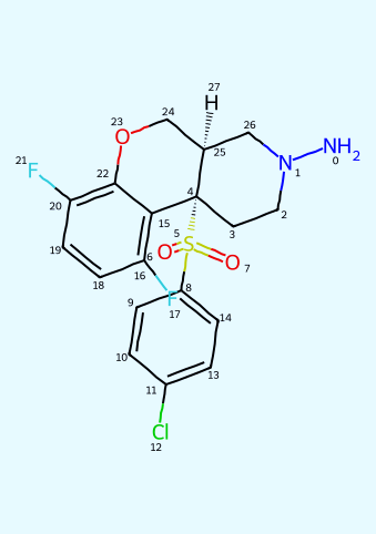 NN1CC[C@@]2(S(=O)(=O)c3ccc(Cl)cc3)c3c(F)ccc(F)c3OC[C@H]2C1